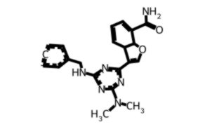 CN(C)c1nc(NCc2ccccc2)nc(C2=COC3C(C(N)=O)=CC=CC23)n1